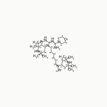 CC(C)NC(NC(N)N1CCOCC1)N(CCCCCCN(C(C)C)C1CC(C)(C)NC(C)(C)C1)C1CC(C)(C)NC(C)(C)C1